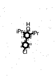 CC(C)c1cc(-c2ccc(Cl)cc2)cc(C(C)C)c1O